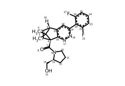 CC1(C)[C@@H]2CC[C@@]1(C(=O)N1CCC[C@H]1CO)c1nnc(-c3c(F)cccc3F)cc12